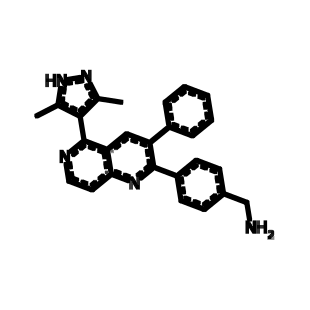 Cc1n[nH]c(C)c1-c1nccc2nc(-c3ccc(CN)cc3)c(-c3ccccc3)cc12